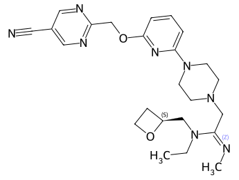 CCN(C[C@@H]1CCO1)/C(CN1CCN(c2cccc(OCc3ncc(C#N)cn3)n2)CC1)=N\C